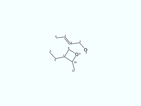 CC=CC[O].CCC1COC1C